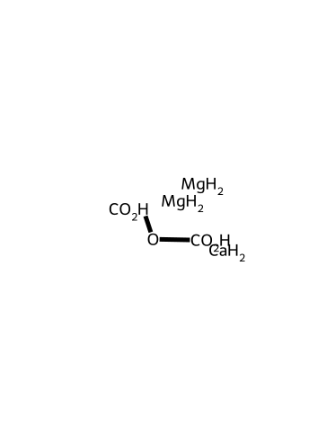 O=C(O)OC(=O)O.[CaH2].[MgH2].[MgH2]